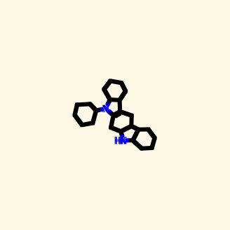 C1CCC(N2C3=C(CC4C(C3)NC3CCCCC34)C3CCCCC32)CC1